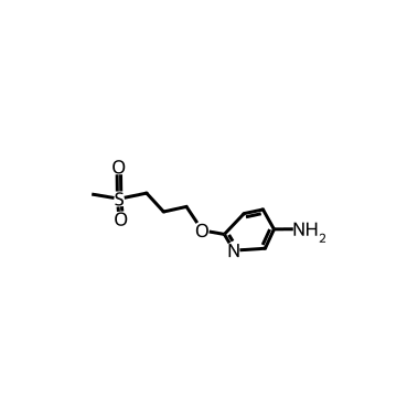 CS(=O)(=O)CCCOc1ccc(N)cn1